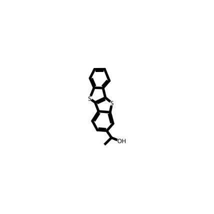 CC(O)c1ccc2c(c1)sc1c3ccccc3sc21